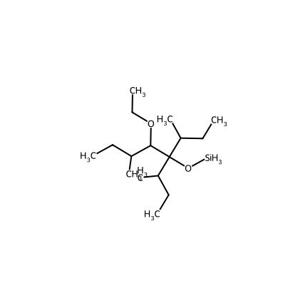 CCOC(C(C)CC)C(O[SiH3])(C(C)CC)C(C)CC